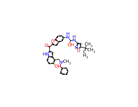 CN(Cc1ccccc1)Cc1c(O)ccc2[nH]c(C(=O)c3cc4cc(NC(O)Nc5cc(C(C)(C)C)on5)ccc4o3)cc12